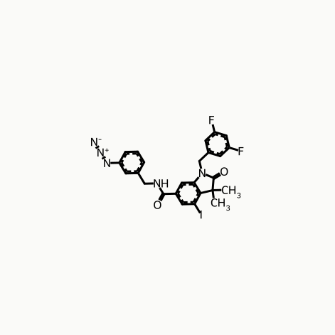 CC1(C)C(=O)N(Cc2cc(F)cc(F)c2)c2cc(C(=O)NCc3cccc(N=[N+]=[N-])c3)cc(I)c21